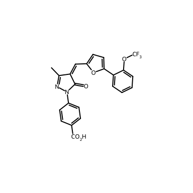 CC1=NN(c2ccc(C(=O)O)cc2)C(=O)C1=Cc1ccc(-c2ccccc2OC(F)(F)F)o1